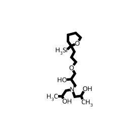 CC(O)CN(CC(C)O)CC(O)COCCCC1([SiH3])CCCCO1